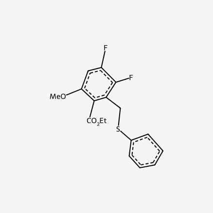 CCOC(=O)c1c(OC)cc(F)c(F)c1CSc1ccccc1